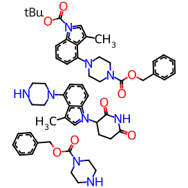 Cc1cn(C(=O)OC(C)(C)C)c2cccc(N3CCN(C(=O)OCc4ccccc4)CC3)c12.Cc1cn(C2CCC(=O)NC2=O)c2cccc(N3CCNCC3)c12.O=C(OCc1ccccc1)N1CCNCC1